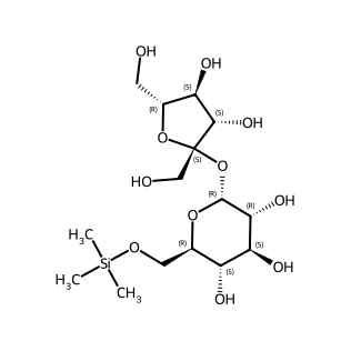 C[Si](C)(C)OC[C@H]1O[C@H](O[C@]2(CO)O[C@H](CO)[C@@H](O)[C@@H]2O)[C@H](O)[C@@H](O)[C@@H]1O